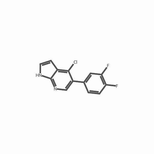 Fc1ccc(-c2cnc3[nH]ccc3c2Cl)cc1F